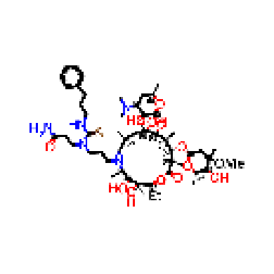 CC[C@H]1OC(=O)[C@H](C)[C@@H](O[C@H]2C[C@@](C)(OC)[C@@H](O)[C@H](C)O2)[C@H](C)[C@@H](O[C@@H]2O[C@H](C)C[C@H](N(C)C)[C@H]2O)[C@](C)(O)C[C@@H](C)CN(CCCN(CCC(N)=O)C(=S)NCCCc2ccccc2)[C@H](C)[C@@H](O)[C@]1(C)O